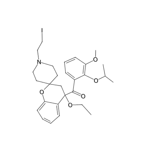 CCOC1(C(=O)c2cccc(OC)c2OC(C)C)CC2(CCN(CCI)CC2)Oc2ccccc21